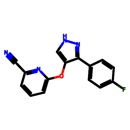 N#Cc1cccc(Oc2c[nH]nc2-c2ccc(F)cc2)n1